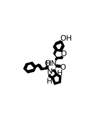 O=C[C@H](Cc1ccc(O)cc1)NC(=O)[C@@H]1[C@H]2CCC[C@H]2CN1C(=O)/C=C/c1ccccc1